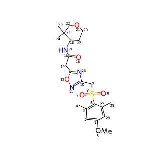 COc1cc(C)c(S(=O)(=O)Cc2noc(CC(=O)NC3CCOCC3(C)C)n2)c(C)c1